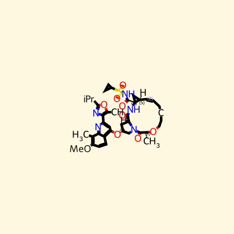 COc1ccc2c(O[C@@H]3C[C@H]4C(=O)N[C@]5(C(=O)NS(=O)(=O)C6CC6)C[C@H]5/C=C\CCCCO[C@H](C)C(=O)N4C3)cc(-c3nc(C(C)C)oc3C)nc2c1C